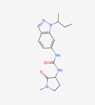 CCC(C)n1ncc2ccc(NC(=O)NC3CCN(C)C3=O)cc21